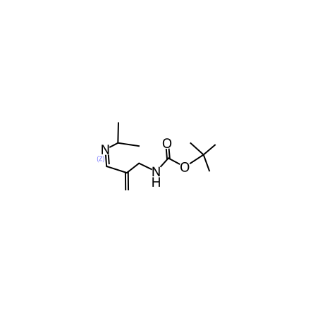 C=C(/C=N\C(C)C)CNC(=O)OC(C)(C)C